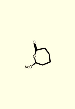 CC(=O)OC1CCCCC(=O)O1